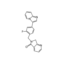 O=C1c2cccnc2CN1Cc1ccc(-c2cnc3ccccn23)cc1F